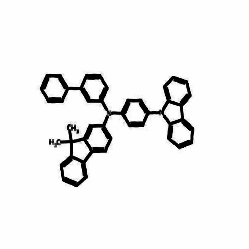 CC1(C)c2ccccc2-c2ccc(N(c3ccc(-n4c5ccccc5c5ccccc54)cc3)c3cccc(-c4ccccc4)c3)cc21